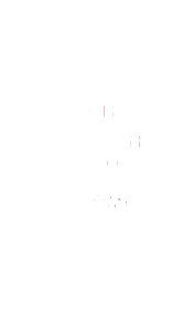 CC(O)CO.COC1CCCCC1O